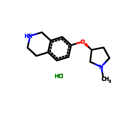 CN1CC[C@H](Oc2ccc3c(c2)CNCC3)C1.Cl